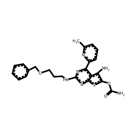 Cc1cccc(-c2nc(NCCCOCc3ccccc3)nc3sc(OC(N)=O)c(N)c23)n1